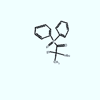 CCCCC(C)(CC)C(=O)P(=O)(c1ccccc1)c1ccccc1